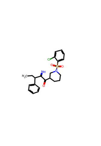 CCC(C(=N)C(=O)C1CCCN(S(=O)(=O)c2ccccc2Cl)C1)c1ccccc1